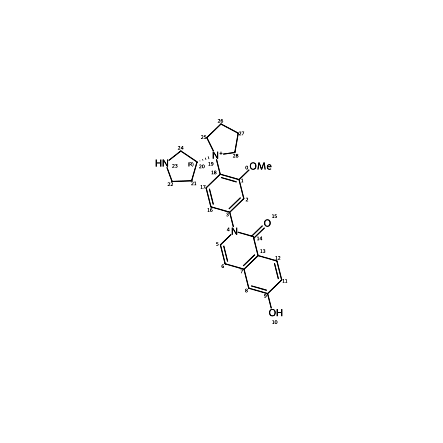 COc1cc(-n2ccc3cc(O)ccc3c2=O)ccc1[N+]1([C@@H]2CCNC2)CCCC1